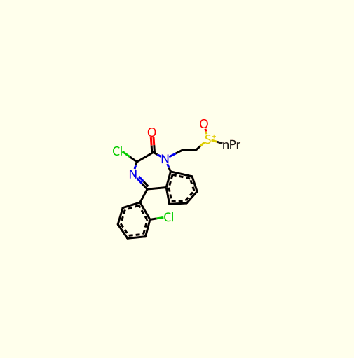 CCC[S+]([O-])CCN1C(=O)C(Cl)N=C(c2ccccc2Cl)c2ccccc21